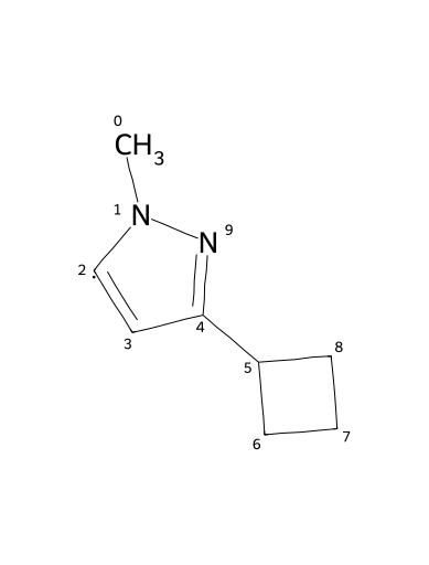 Cn1[c]cc(C2CCC2)n1